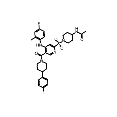 CC(=O)NC1CCN(S(=O)(=O)c2cc(Nc3ccc(F)cc3C)c(C(=O)N3CCC(c4ccc(F)cc4)CC3)cn2)CC1